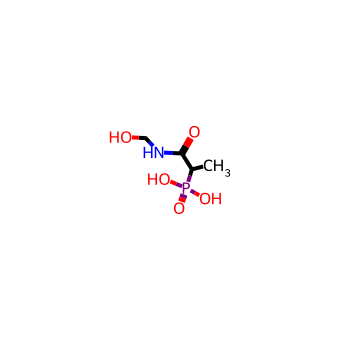 CC(C(=O)NCO)P(=O)(O)O